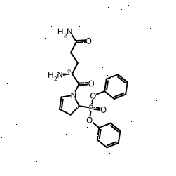 NC(=O)CC[C@H](N)C(=O)N1C=CCC1P(=O)(Oc1ccccc1)Oc1ccccc1